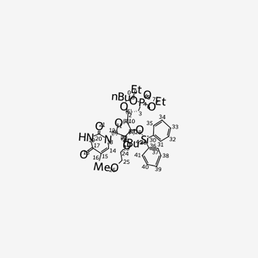 CCCCO[C@H](CP(=O)(OCC)OCC)[C@H]1O[C@@H](n2cc(C)c(=O)[nH]c2=O)[C@H](OCCOC)[C@@H]1O[Si](c1ccccc1)(c1ccccc1)C(C)(C)C